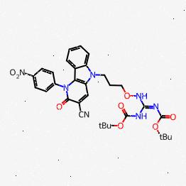 CC(C)(C)OC(=O)N=C(NOCCCn1c2ccccc2c2c1cc(C#N)c(=O)n2-c1ccc([N+](=O)[O-])cc1)NC(=O)OC(C)(C)C